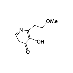 COCCC1=C(O)C(=O)CC=N1